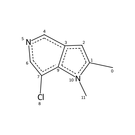 Cc1cc2cncc(Cl)c2n1C